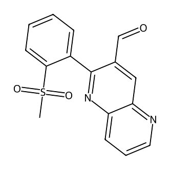 CS(=O)(=O)c1ccccc1-c1nc2cccnc2cc1C=O